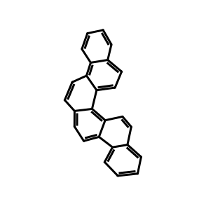 c1ccc2c(c1)ccc1c2ccc2ccc3c4ccccc4ccc3c21